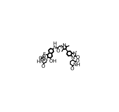 Cc1nn(CC(=O)Nc2ccc3c(F)c(N4CC(=O)NS4(=O)=O)c(O)cc3c2)c(C)c1-c1ccc2c(c1)n(C)c(=O)n2C1CCC(=O)NC1=O